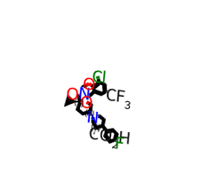 O=C(O)[C@@H]1CN([C@@H]2CC[C@@](C(=O)N3COc4c(Cl)cc(C(F)(F)F)cc4C3)(C3CC3)OC2)CCC1c1ccc(F)cc1